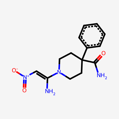 NC(=O)C1(c2ccccc2)CCN(C(N)=C[N+](=O)[O-])CC1